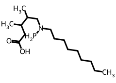 CCCCCCCCCN(P)CC(C)C(C)CC(=O)O